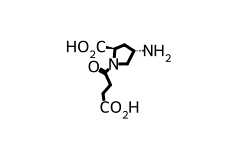 N[C@H]1C[C@H](C(=O)O)N(C(=O)CCC(=O)O)C1